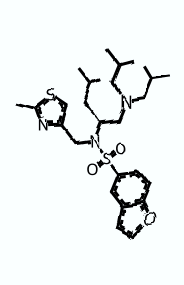 Cc1nc(CN([C@@H](CC(C)C)CN(CC(C)C)CC(C)C)S(=O)(=O)c2ccc3occc3c2)cs1